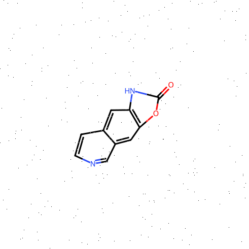 O=c1[nH]c2cc3ccncc3cc2o1